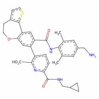 Cc1cc(CN)cc(C)c1NC(=O)c1cc2c(cc1-c1ccc(C(=O)NCC3CC3)nc1C(=O)O)OCCc1ccsc1-2